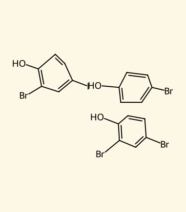 Oc1ccc(Br)cc1.Oc1ccc(Br)cc1Br.Oc1ccc(I)cc1Br